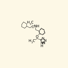 CC(Oc1ccccc1CN[C@@H](C)CC1CCCCC1)c1nnn[nH]1